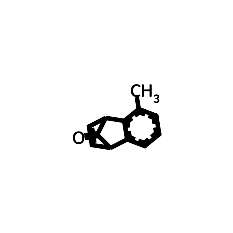 Cc1cccc2c1C1C=CC2C1=O